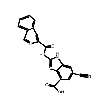 N#Cc1cc(C(=O)O)c2nc(NC(=O)c3cc4ccccc4cn3)[nH]c2c1